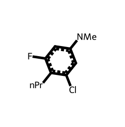 CCCc1c(F)cc(NC)cc1Cl